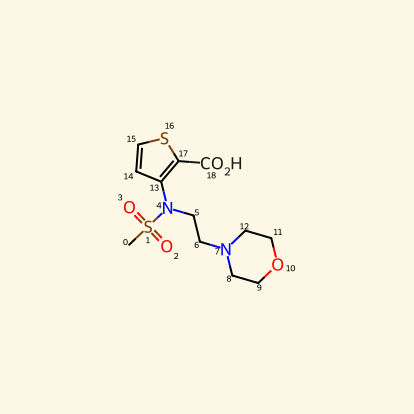 CS(=O)(=O)N(CCN1CCOCC1)c1ccsc1C(=O)O